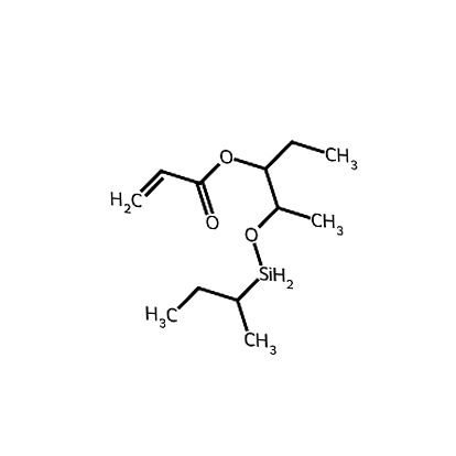 C=CC(=O)OC(CC)C(C)O[SiH2]C(C)CC